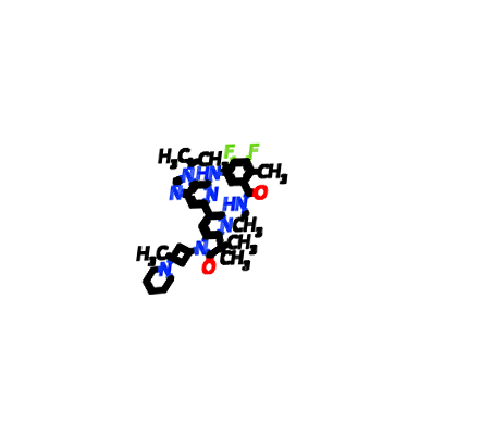 CCNC(=O)c1cc(Nc2nc(-c3cnc4c(c3)N(C3CC(C)(N5CCCCC5)C3)C(=O)C4(C)C)cc3ncn(C(C)C)c23)c(F)c(F)c1C